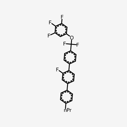 CCCc1ccc(-c2ccc(-c3ccc(C(F)(F)Oc4cc(F)c(F)c(F)c4)cc3)c(F)c2)cc1